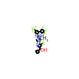 C[C@@H]1CN(c2ncc([C@H](O)c3ccccc3)cc2C(F)(F)F)CCN1c1nc2cc(C(F)(F)F)cc(-c3cc(F)c(F)c(F)c3)c2[nH]1